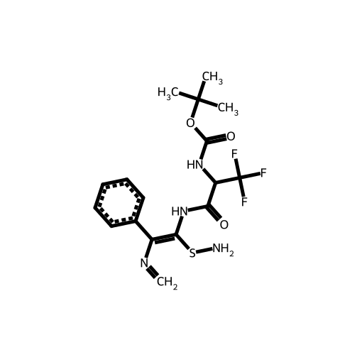 C=N/C(=C(/NC(=O)C(NC(=O)OC(C)(C)C)C(F)(F)F)SN)c1ccccc1